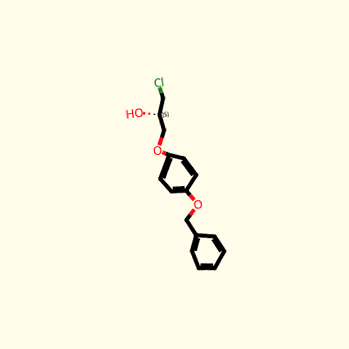 O[C@H](CCl)COc1ccc(OCc2ccccc2)cc1